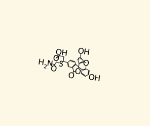 NC(=O)CSC(CC(=O)O)c1ccc2c(c1)C(=O)OC21c2ccc(O)cc2Oc2cc(O)ccc21